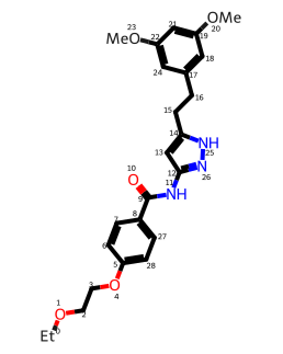 CCOCCOc1ccc(C(=O)Nc2cc(CCc3cc(OC)cc(OC)c3)[nH]n2)cc1